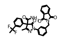 CC1=NN(c2cccc(CN3C(=O)c4ccccc4C3=O)c2)C(=O)C1(C(N)=O)c1cccc(C(C)(F)F)c1